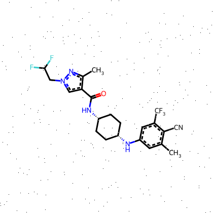 Cc1cc(N[C@H]2CC[C@@H](NC(=O)c3cn(CC(F)F)nc3C)CC2)cc(C(F)(F)F)c1C#N